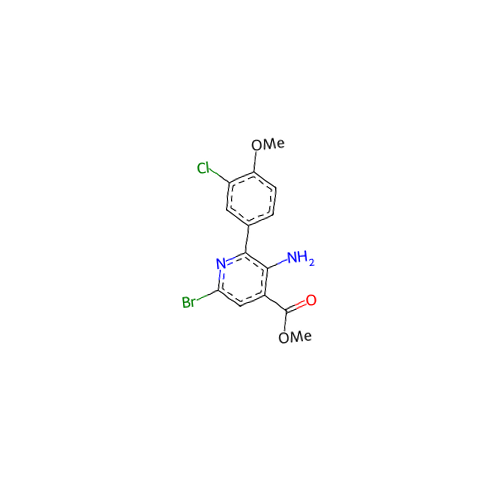 COC(=O)c1cc(Br)nc(-c2ccc(OC)c(Cl)c2)c1N